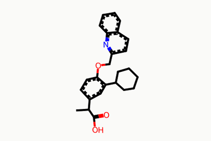 CC(C(=O)O)c1ccc(OCc2ccc3ccccc3n2)c(C2CCCCC2)c1